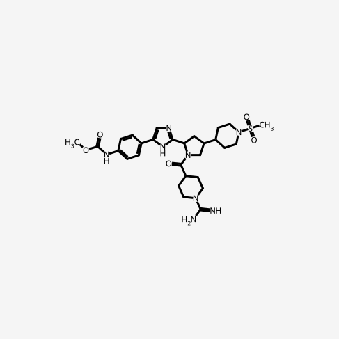 COC(=O)Nc1ccc(-c2cnc(C3CC(C4CCN(S(C)(=O)=O)CC4)CN3C(=O)C3CCN(C(=N)N)CC3)[nH]2)cc1